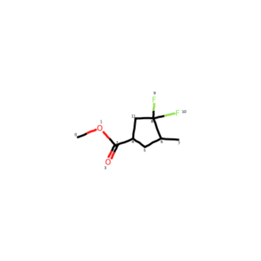 COC(=O)C1CC(C)C(F)(F)C1